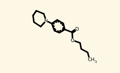 CCCCOC(=O)c1ccc(N2CCCCC2)cc1